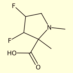 CN1CC(F)C(F)C1(C)C(=O)O